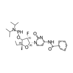 CC[C@@]1(C)O[C@@H](n2ccc(NC(=O)c3ccccc3)nc2=O)[C@@H](F)C1OPN(C(C)C)C(C)C